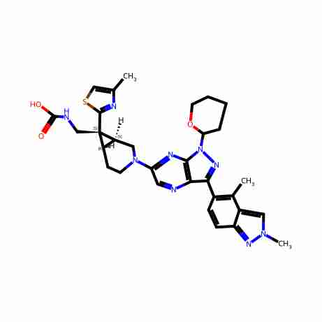 Cc1csc([C@@]2(CNC(=O)O)[C@@H]3CCN(c4cnc5c(-c6ccc7nn(C)cc7c6C)nn(C6CCCCO6)c5n4)C[C@@H]32)n1